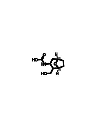 O=C(O)NC1C[C@H]2CC[C@H](O2)C1CO